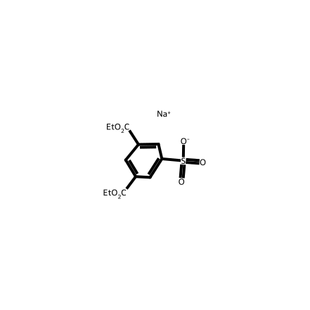 CCOC(=O)c1cc(C(=O)OCC)cc(S(=O)(=O)[O-])c1.[Na+]